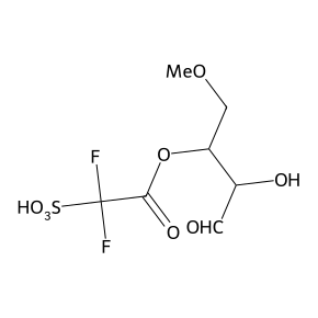 COCC(OC(=O)C(F)(F)S(=O)(=O)O)C(O)C=O